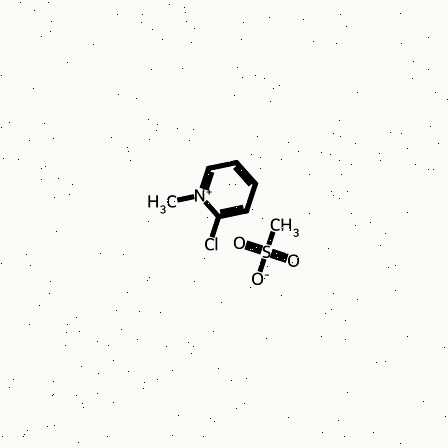 CS(=O)(=O)[O-].C[n+]1ccccc1Cl